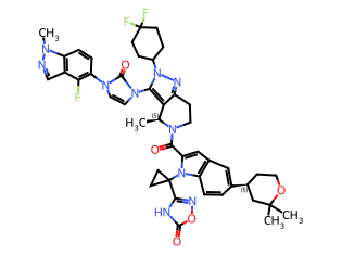 C[C@H]1c2c(nn(C3CCC(F)(F)CC3)c2-n2ccn(-c3ccc4c(cnn4C)c3F)c2=O)CCN1C(=O)c1cc2cc([C@H]3CCOC(C)(C)C3)ccc2n1C1(c2noc(=O)[nH]2)CC1